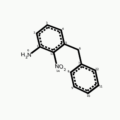 Nc1cccc(Cc2ccccc2)c1[N+](=O)[O-]